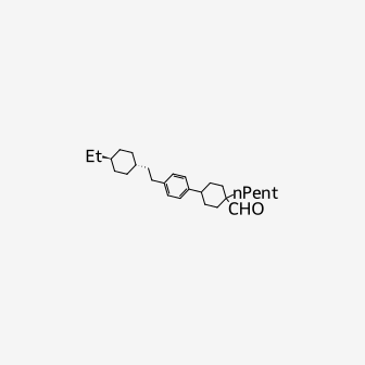 CCCCCC1(C=O)CCC(c2ccc(CC[C@H]3CC[C@H](CC)CC3)cc2)CC1